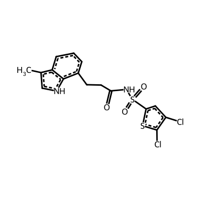 Cc1c[nH]c2c(CCC(=O)NS(=O)(=O)c3cc(Cl)c(Cl)s3)cccc12